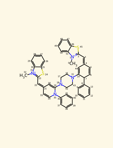 C[n+]1c(/C=C2/C=CC(c3ccccc3)C(N3CCN(C4=C/C(=C\c5sc6ccccc6[n+]5C)C=CN4c4ccccc4)CC3)=C2)sc2ccccc21